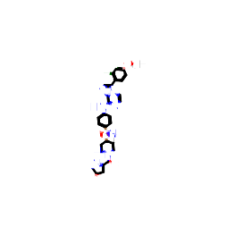 CN=S(=O)(c1ccc(Nc2nccn3c(-c4ccc(OC)c(F)c4F)cnc23)cc1)C1CCN(C(=O)C2CC(O)CN2)CC1